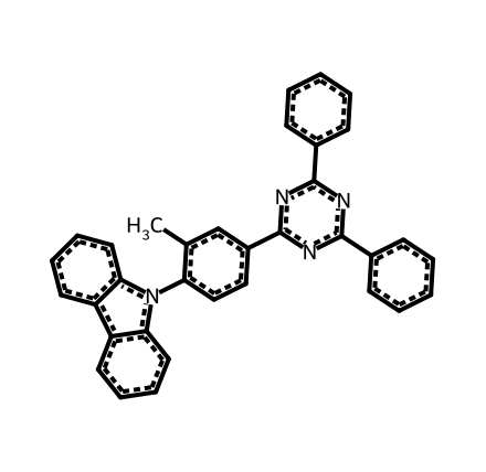 Cc1cc(-c2nc(-c3ccccc3)nc(-c3ccccc3)n2)ccc1-n1c2ccccc2c2ccccc21